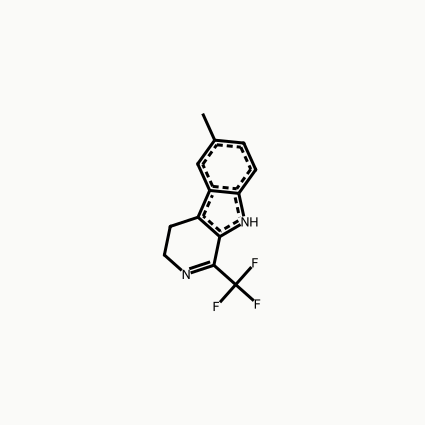 Cc1ccc2[nH]c3c(c2c1)CCN=C3C(F)(F)F